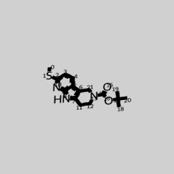 CSc1ccc2c3c([nH]c2n1)CCN(C(=O)OC(C)(C)C)C3